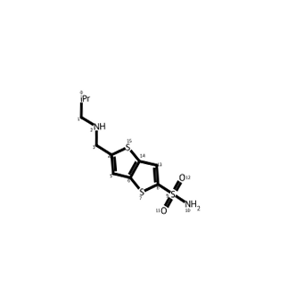 CC(C)CNCc1cc2sc(S(N)(=O)=O)cc2s1